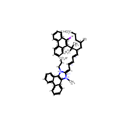 CCC(CCC(=O)O)CC(/C=C/C=C/C=C1/N(C)c2c(c3ccccc3c3ccccc23)N1CCC(=O)O)C(C)(C)c1c(I)c2ccccc2c2ccccc12